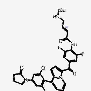 COc1cc(N2CCCC2=O)cc(Cl)c1-c1cccn2c(C(=O)c3cc(F)c(NC(=O)/C=C/CNC(C)(C)C)c(F)c3)ccc12